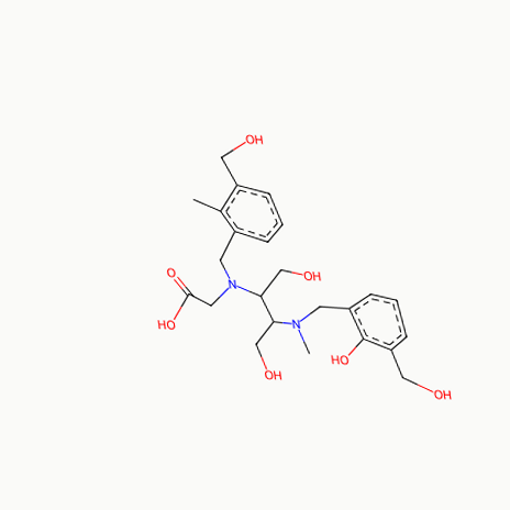 Cc1c(CO)cccc1CN(CC(=O)O)C(CO)C(CO)N(C)Cc1cccc(CO)c1O